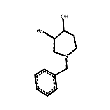 OC1CCN(Cc2ccccc2)CC1Br